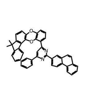 CC1(C)c2ccccc2-c2c1ccc1c2Oc2c(cccc2-c2cc(-c3ccccc3)nc(-c3ccc4c(ccc5ccccc54)c3)n2)O1